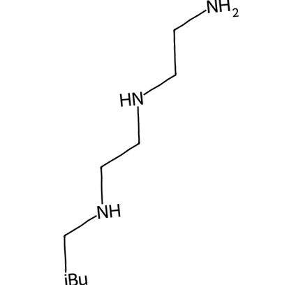 CCC(C)CNCCNCCN